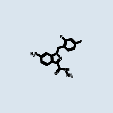 NNC(=O)c1nn(Cc2ccc(F)cc2F)c2cc(N)ccc12